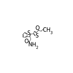 CCCC(=O)c1cc(-c2sc3ccccc3c2CC(N)=O)cs1